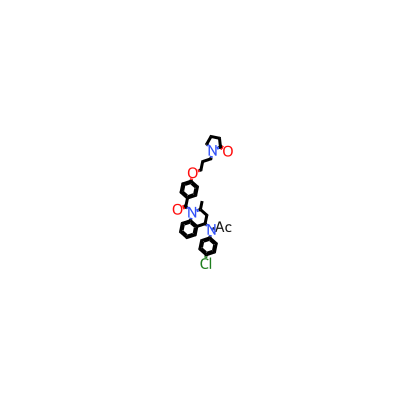 CC(=O)N(c1ccc(Cl)cc1)C1CC(C)N(C(=O)c2ccc(OCCCN3CCCC3=O)cc2)c2ccccc21